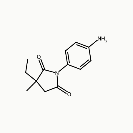 CCC1(C)CC(=O)N(c2ccc(N)cc2)C1=O